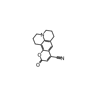 N#Cc1cc(=O)oc2c3c4c(cc12)CCCN4CCC3